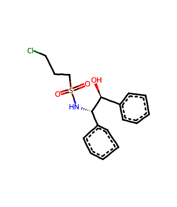 O=S(=O)(CCCCl)N[C@@H](c1ccccc1)[C@@H](O)c1ccccc1